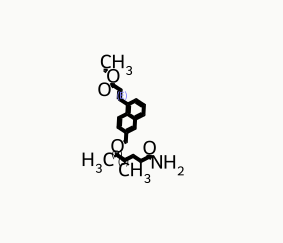 CCOC(=O)/C=C/c1cccc2cc(CO[C@H](C)[C@@H](C)CCC(N)=O)ccc12